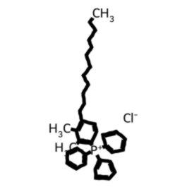 CCCCCCCCCCCCc1ccc([P+](c2ccccc2)(c2ccccc2)c2ccccc2)c(C)c1C.[Cl-]